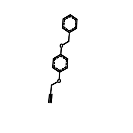 C#CCOc1ccc(OCc2ccccc2)cc1